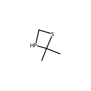 CC1(C)PCS1